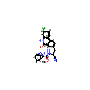 N#CC(Cc1ccc2c(c1)c(=O)[nH]c1cc(Cl)ccc12)NC(=O)[C@H]1NC2=C[C@@H]1CC2